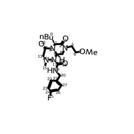 CCCC[C@H]1C(=O)N(CCOC)C[C@H]2N1C(=O)CN(C)N2C(=O)NCc1ccc(F)cc1